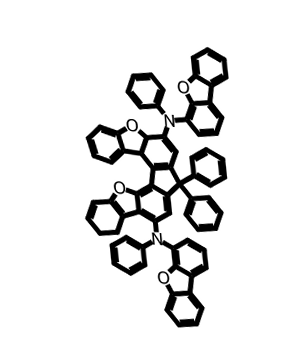 C1=Cc2oc3c4c(cc(N(c5ccccc5)c5cccc6c5oc5ccccc56)c3c2CC1)C(c1ccccc1)(c1ccccc1)C1=C4C2c3ccccc3OC2C(N(c2ccccc2)c2cccc3c2oc2ccccc23)=C1